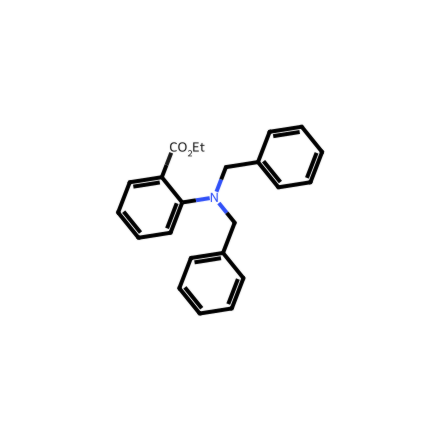 CCOC(=O)c1ccccc1N(Cc1ccccc1)Cc1ccccc1